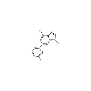 Cc1cccc(-c2cc(Cl)n3ncc(F)c3n2)n1